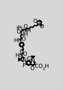 CC(C)[C@H](NC(=O)CCCCCN1C(=O)C=CC1=O)C(=O)NCC(=O)Nc1ccc(COC(=O)N[C@@H]2CN(c3c(F)cc4c(=O)c(C(=O)O)cn(C5CC5)c4c3Cl)CC23CC3)cc1